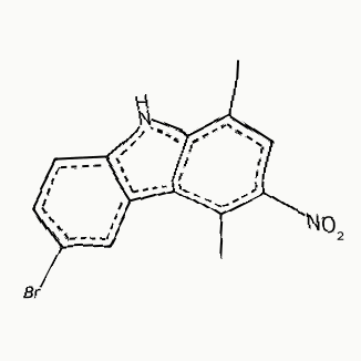 Cc1cc([N+](=O)[O-])c(C)c2c1[nH]c1ccc(Br)cc12